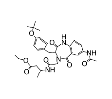 CCOC(=O)CC(C)NC(=O)CN1C(=O)c2cc(NC(C)=O)ccc2NC(=O)C1Cc1ccc(OC(C)(C)C)cc1